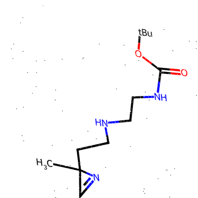 CC1(CCNCCNC(=O)OC(C)(C)C)C=N1